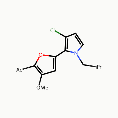 COc1cc(-c2c(Cl)ccn2CC(C)C)oc1C(C)=O